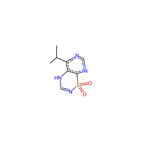 CC(C)c1ncnc2c1NC=NS2(=O)=O